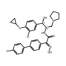 O=C(N[C@H](CN1CCCC1)[C@H](O)c1ccc(OC2CC2)c(Cl)c1)/C(=N/O)c1ccc(-c2ccc(F)cc2)cc1